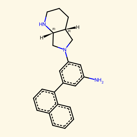 Nc1cc(-c2cccc3ccccc23)cc(N2C[C@H]3CCCN[C@H]3C2)c1